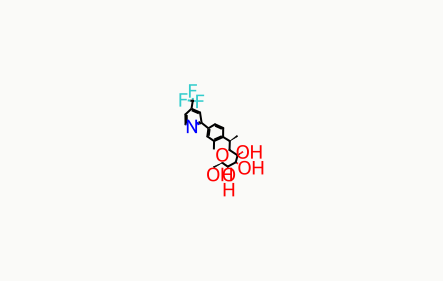 Cc1cc(-c2cc(C(F)(F)F)ccn2)ccc1[C@@H](C)[C@H]1O[C@H](CO)[C@@H](O)[C@H](O)[C@@H]1O